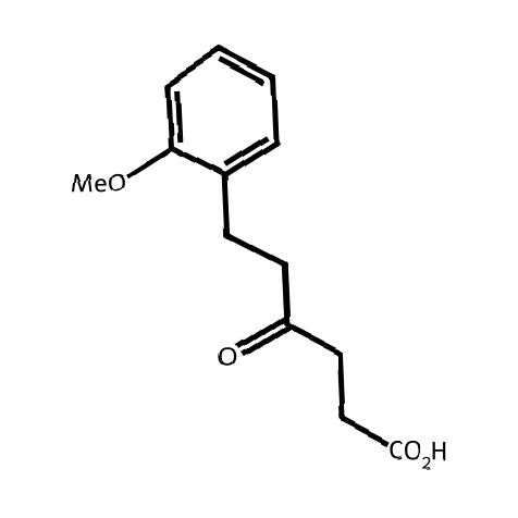 COc1ccccc1CCC(=O)CCC(=O)O